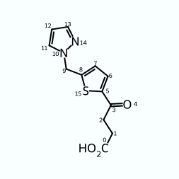 O=C(O)CCC(=O)c1ccc(Cn2cccn2)s1